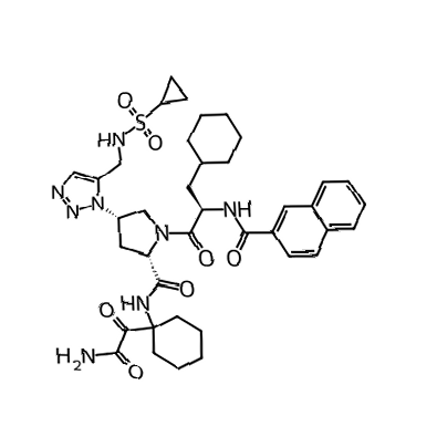 NC(=O)C(=O)C1(NC(=O)[C@@H]2C[C@H](n3nncc3CNS(=O)(=O)C3CC3)CN2C(=O)[C@@H](CC2CCCCC2)NC(=O)c2ccc3ccccc3c2)CCCCC1